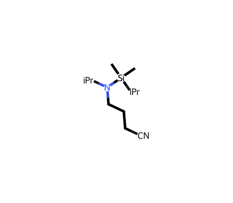 CC(C)N(CCCC#N)[Si](C)(C)C(C)C